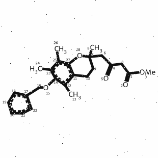 COC(=O)CC(=O)CC1(C)CCc2c(C)c(OCc3ccccc3)c(C)c(C)c2O1